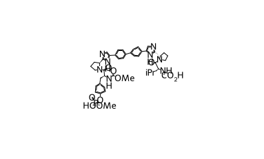 COC(=O)N[C@@H](Cc1ccc(OP(=O)(O)OC)cc1)C(=O)N1CCC[C@H]1c1ncc(-c2ccc(-c3ccc(-c4cnc([C@@H]5CCCN5C(=O)[C@@H](NC(=O)O)C(C)C)[nH]4)cc3)cc2)[nH]1